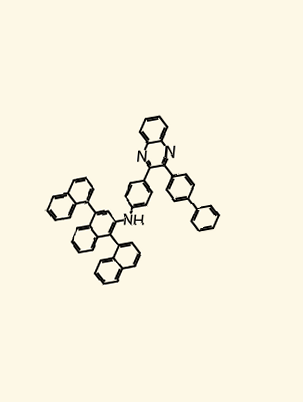 c1ccc(-c2ccc(-c3nc4ccccc4nc3-c3ccc(Nc4cc(-c5cccc6ccccc56)c5ccccc5c4-c4cccc5ccccc45)cc3)cc2)cc1